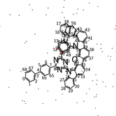 c1ccc(-c2ccc(-c3nc(-c4ccc(-c5ccccc5)cc4)nc(-n4c5ccccc5c5ccc6c7ccc8c9ccccc9n(-c9ccccc9-c9ccccc9)c8c7oc6c54)n3)cc2)cc1